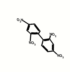 O=[N+]([O-])c1ccc(-c2ccc([N+](=O)[O-])cc2[N+](=O)[O-])c([N+](=O)[O-])c1